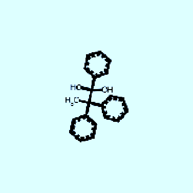 CC(c1ccccc1)(c1ccccc1)C(O)(O)c1ccccc1